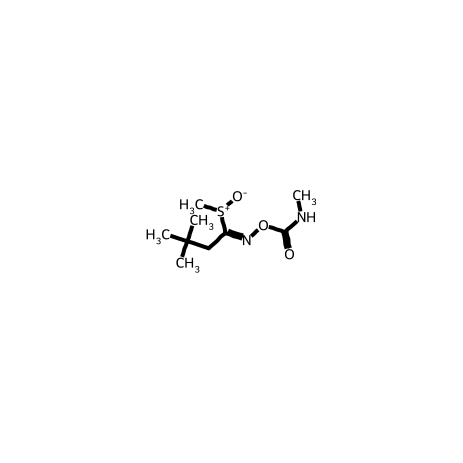 CNC(=O)ON=C(CC(C)(C)C)[S+](C)[O-]